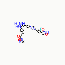 Cc1cc(C(=N)c2cc(-c3ccc(N4CCN(CCc5ccc(C6CCC(=O)NC6=O)c(F)c5)CC4)cc3)cnc2N)ccc1[C@@H](C)CCC(=O)c1nc(C(C)(C)C)no1